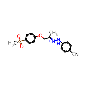 C/C(COc1ccc(S(C)(=O)=O)cc1)=N\Nc1ccc(C#N)cc1